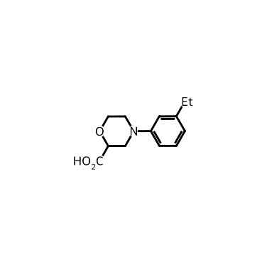 CCc1cccc(N2CCOC(C(=O)O)C2)c1